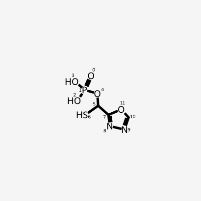 O=P(O)(O)OC(S)c1nnco1